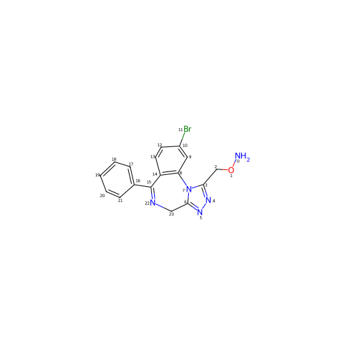 NOCc1nnc2n1-c1cc(Br)ccc1C(c1ccccc1)=NC2